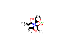 CCC(O)[N+](C(O)CC)(C(O)CC)C(O)CC.[Cl-]